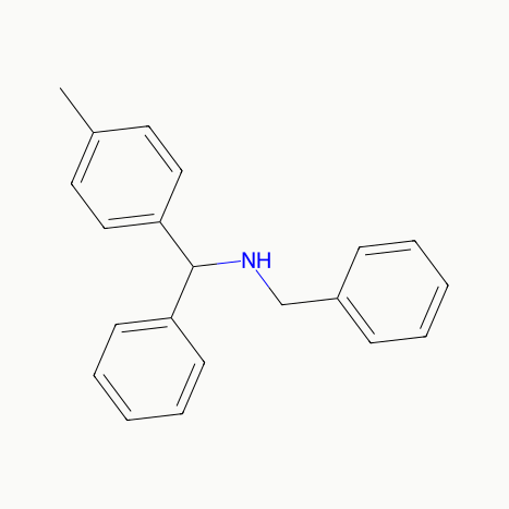 Cc1ccc(C(NCc2ccccc2)c2ccccc2)cc1